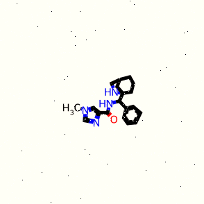 Cn1cnc(C(=O)NC(c2ccccc2)C23CCCC(CN2)C3)c1